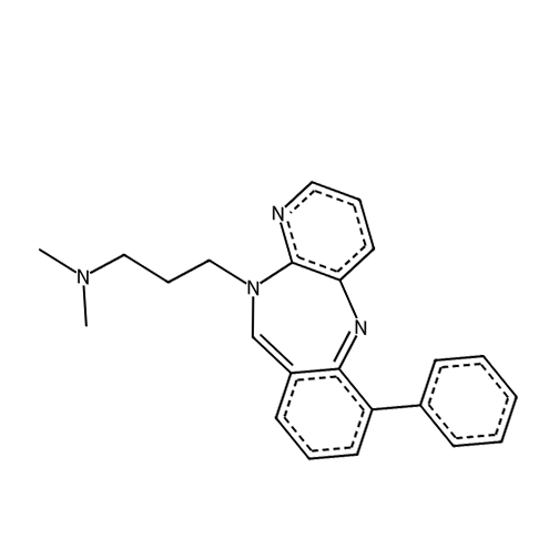 CN(C)CCCN1C=c2cccc(-c3ccccc3)c2=Nc2cccnc21